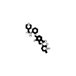 C=C1CCC(N2Cc3c(ccc(C[C@H]4CCCC[C@@H]4N[C@H](C)C4CCOCC4)c3F)C2=O)C(=O)N1